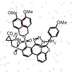 COc1ccc(CN(Cc2ccc(OC)cc2)S(=O)(=O)c2c(S(=O)(=O)CC3(NC(=O)O)CC3)ccc(-c3cccc4sc(N)nc34)c2-c2nnn(Cc3ccc(OC)cc3)n2)cc1